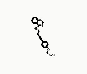 COCOc1ccc(C#CCCNc2ncnc3ccccc23)cc1